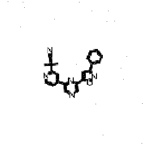 CC(C)(C#N)c1cc(-c2cncc(-c3cc(-c4ccccc4)no3)n2)ccn1